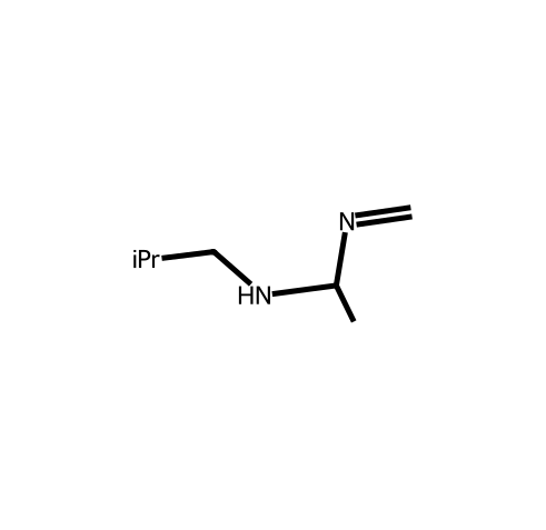 C=NC(C)NCC(C)C